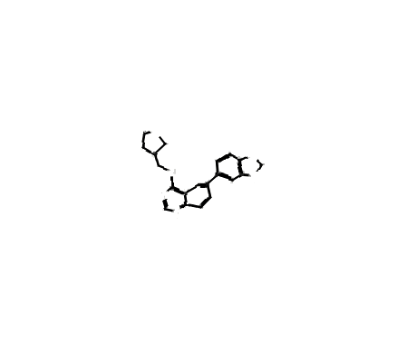 c1nc(NCC2CCOC2)c2cc(-c3ccc4c(c3)OCO4)ccc2n1